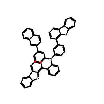 c1cc(-c2ccc3ccccc3c2)cc(N(c2cccc(-c3cccc4c3sc3ccccc34)c2)c2ccccc2-c2cccc3c2sc2ccccc23)c1